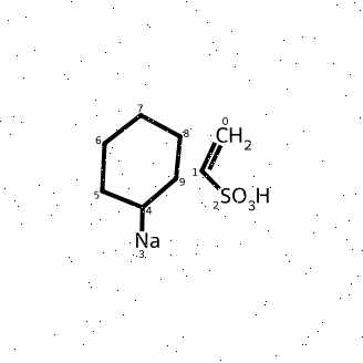 C=CS(=O)(=O)O.[Na][CH]1CCCCC1